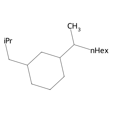 CCCCCCC(C)C1CCCC(CC(C)C)C1